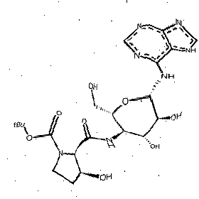 CC(C)(C)OC(=O)N1CC[C@H](O)[C@@H]1C(=O)N[C@@H]1[C@@H](O)[C@H](O)[C@@H](Nc2ncnc3nc[nH]c23)O[C@H]1CO